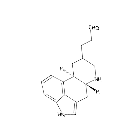 O=CCCC1CN[C@@H]2Cc3c[nH]c4cccc(c34)[C@H]2C1